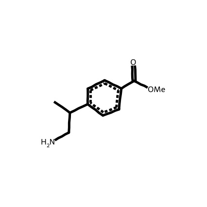 COC(=O)c1ccc(C(C)CN)cc1